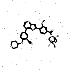 COc1cc(C(=O)N2C[C@H]3C[C@@H]2CN3C)ccc1-c1cc2nccc(-c3ccc(OC4CCOCC4)c(C#N)c3)c2o1